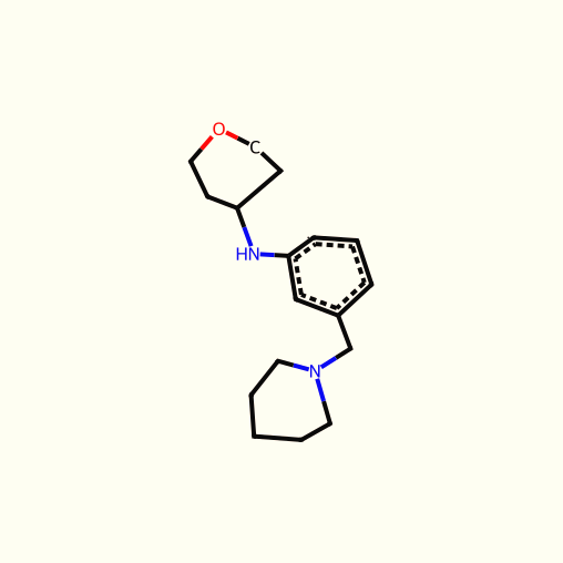 [c]1ccc(CN2CCCCC2)cc1NC1CCOCC1